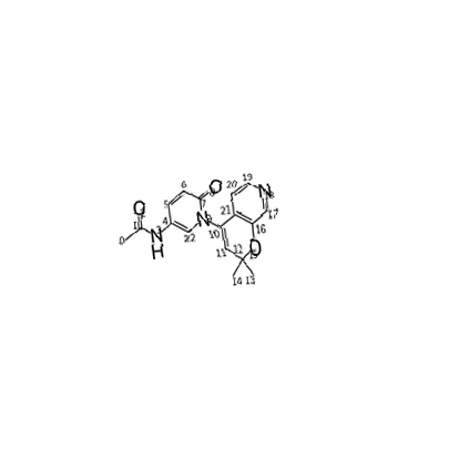 CC(=O)Nc1ccc(=O)n(C2=CC(C)(C)Oc3cnccc32)c1